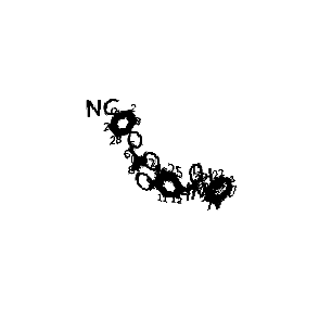 N#Cc1ccc(OC[C@@H]2COc3ccc(C(=O)N[C@H]4CN5CCC4CC5)cc3O2)cc1